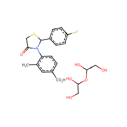 Cc1cc(C(=O)O)ccc1N1C(=O)CSC1c1ccc(F)cc1.OCC(O)OC(O)CO